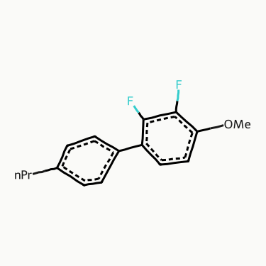 CCCc1ccc(-c2ccc(OC)c(F)c2F)cc1